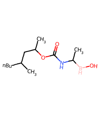 CCCCC(C)CC(C)OC(=O)NC(C)BO